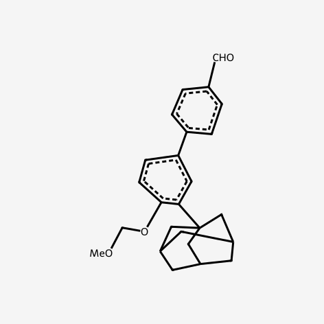 COCOc1ccc(-c2ccc(C=O)cc2)cc1C12CC3CC(CC(C3)C1)C2